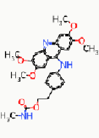 CNC(=O)OCCc1ccc(Nc2c3cc(OC)c(OC)cc3nc3cc(OC)c(OC)cc23)cc1